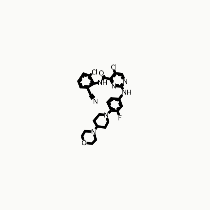 N#Cc1cccc(Cl)c1NC(=O)c1nc(Nc2ccc(N3CCC(N4CCOCC4)CC3)c(F)c2)ncc1Cl